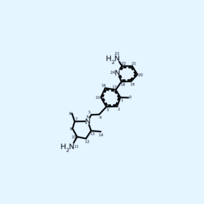 Cc1cc(CCN2C(C)CC(N)CC2C)ccc1-c1cccc(N)n1